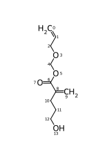 C=CCOCOC(=O)C(=C)CCCO